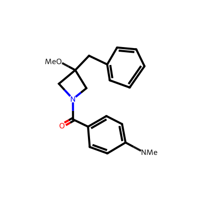 CNc1ccc(C(=O)N2CC(Cc3ccccc3)(OC)C2)cc1